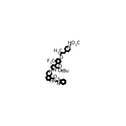 C[C@@H](COc1ccc(-c2ccc(N3CCc4cccc(C(=O)Nc5nc6ccccc6s5)c4C3)nc2C(=O)OC(C)(C)C)c(C(F)(F)F)c1)CC1CCN(CC(=O)O)CC1